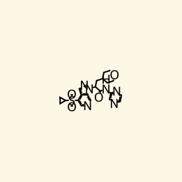 O=C(Nc1cnccn1)C(CC1CCOCC1)n1ncc2c(S(=O)(=O)C3CC3)cncc21